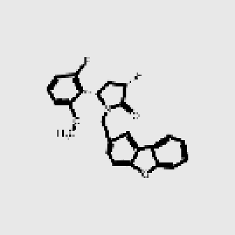 COc1cccc(F)c1[C@@H]1C[C@H](F)C(=O)N1Cc1ccc2oc3ccccc3c2c1